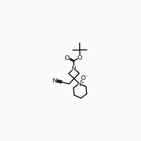 CC(C)(C)OC(=O)N1CC(CC#N)([N+]2([O-])CCCCC2)C1